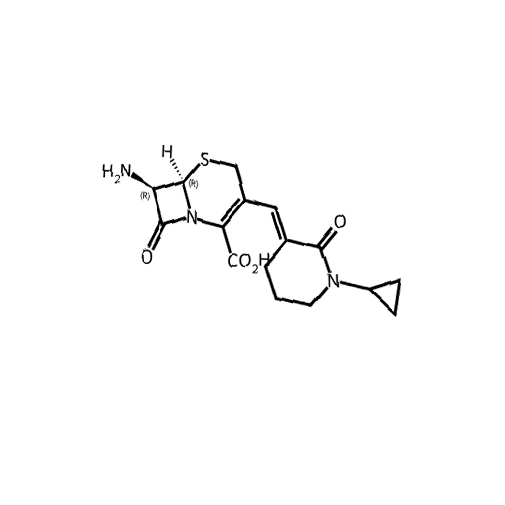 N[C@@H]1C(=O)N2C(C(=O)O)=C(C=C3CCCN(C4CC4)C3=O)CS[C@H]12